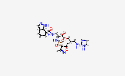 Cc1noc(C)c1S(=O)(=O)NC(CNC(=O)c1cccc2cn[nH]c12)C(=O)OCCCNC1=NCCN1